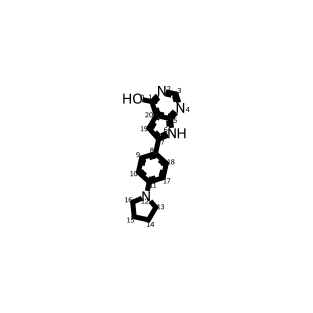 Oc1ncnc2[nH]c(-c3ccc(N4CCCC4)cc3)cc12